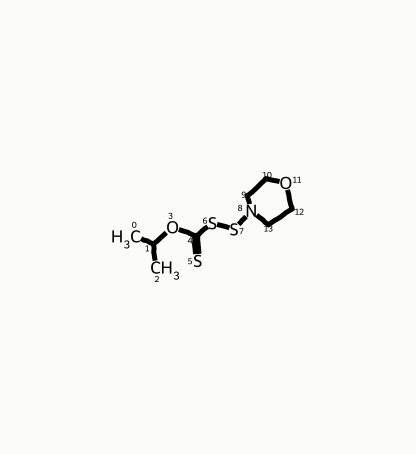 CC(C)OC(=S)SSN1CCOCC1